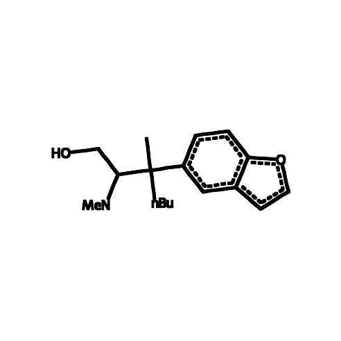 CCCCC(C)(c1ccc2occc2c1)C(CO)NC